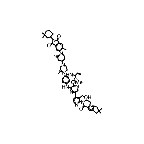 C=CC(=O)Nc1cc(Nc2nc(-c3ccnc(N4CCn5c(cc6c5CC(C)(C)C6)C4=O)c3CO)cnc2OC)ccc1N1CCN(C2CCN(c3cc4c(cc3C)C(=O)N(C3CCCC(C)(C)C3)C4=O)[C@H](C)C2)C[C@@H]1C